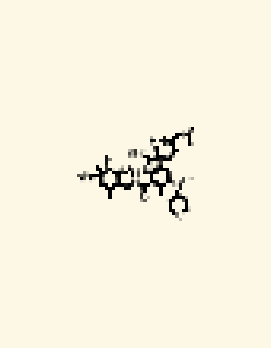 CCCC(CC)C1(c2cc(C(=O)NCC3C(=O)NC(C)(CCC)CC3C)c(C)c(N(CC)C3CCOCC3)c2)CCC(CN(C)C)NC1